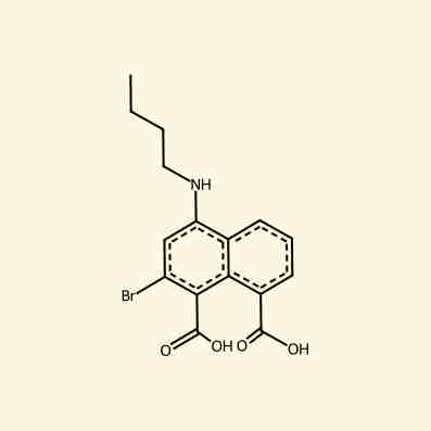 CCCCNc1cc(Br)c(C(=O)O)c2c(C(=O)O)cccc12